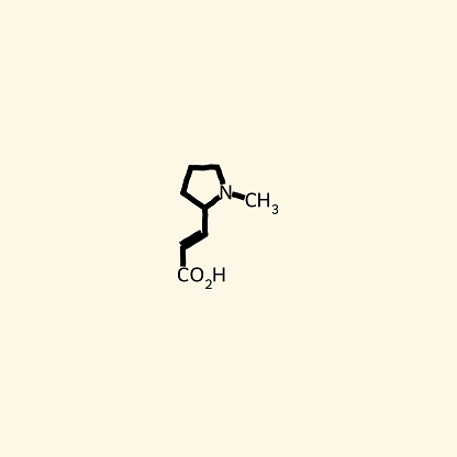 CN1CCCC1/C=C/C(=O)O